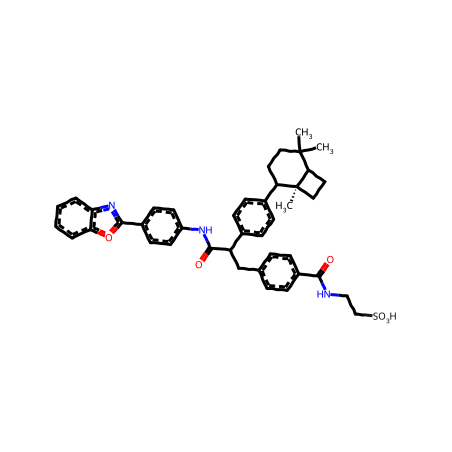 CC1(C)CCC(c2ccc(C(Cc3ccc(C(=O)NCCS(=O)(=O)O)cc3)C(=O)Nc3ccc(-c4nc5ccccc5o4)cc3)cc2)[C@]2(C)CCC12